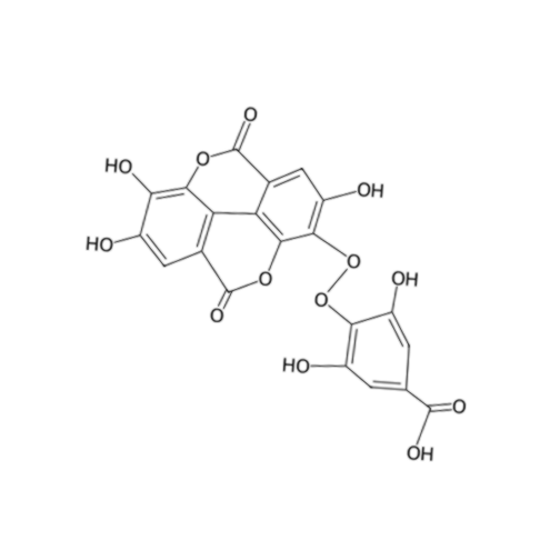 O=C(O)c1cc(O)c(OOc2c(O)cc3c(=O)oc4c(O)c(O)cc5c(=O)oc2c3c45)c(O)c1